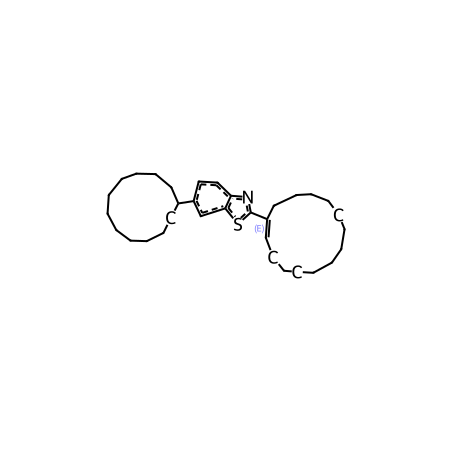 C1=C(/c2nc3ccc(C4CCCCCCCCCCC4)cc3s2)CCCCCCCCCCCC/1